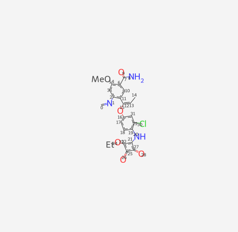 C=Nc1cc(OC)c(C(N)=O)cc1/C(=C\C)Oc1ccc(Nc2c(OCC)c(=O)c2=O)c(Cl)c1